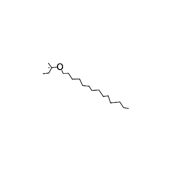 CCCCCCCCCCCCCCO[C](C)CC